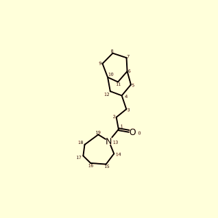 O=C(CCC1CC2CCCC(C2)C1)N1CCCCCC1